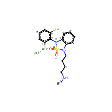 CC(C)NCCCCN1c2ccccc2N(c2c(F)cccc2F)S1(=O)=O.Cl